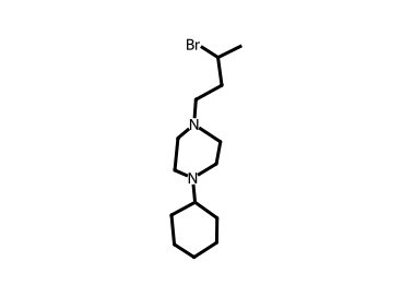 CC(Br)CCN1CCN(C2CCCCC2)CC1